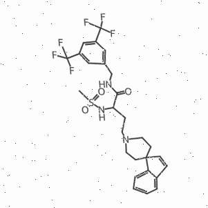 CS(=O)(=O)NC(CCN1CCC2(C=Cc3ccccc32)CC1)C(=O)NCc1cc(C(F)(F)F)cc(C(F)(F)F)c1